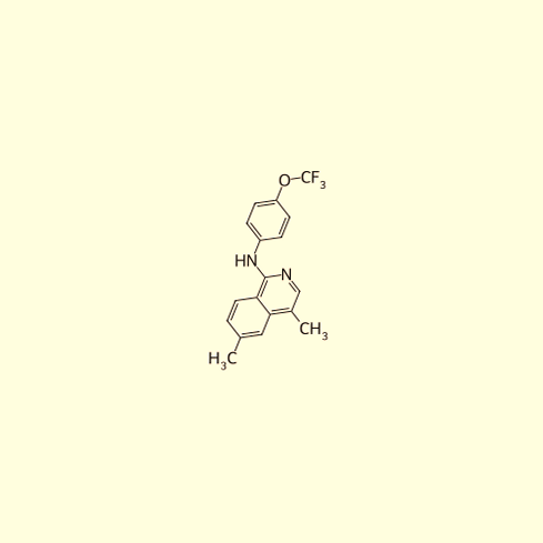 Cc1ccc2c(Nc3ccc(OC(F)(F)F)cc3)ncc(C)c2c1